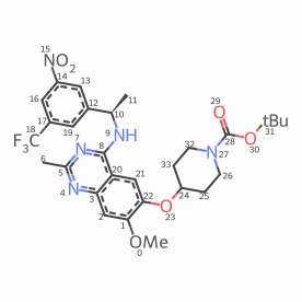 COc1cc2nc(C)nc(N[C@H](C)c3cc([N+](=O)[O-])cc(C(F)(F)F)c3)c2cc1OC1CCN(C(=O)OC(C)(C)C)CC1